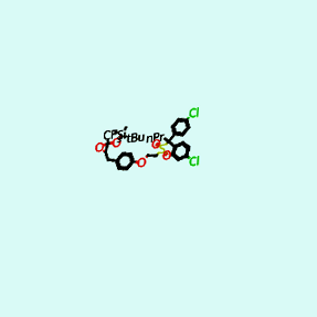 CCCC(c1ccc(Cl)cc1)(c1ccc(Cl)cc1)S(=O)(=O)CCOc1ccc(CC2OC2(O[Si](C)(C)C(C)(C)C)C(F)(F)F)cc1